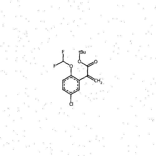 C=C(C(=O)OC(C)(C)C)c1cc(Cl)ccc1OC(F)F